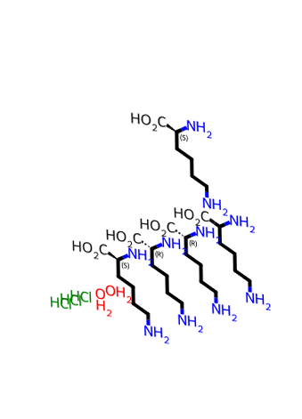 Cl.Cl.Cl.NCCCCC(N)C(=O)O.NCCCC[C@@H](N)C(=O)O.NCCCC[C@@H](N)C(=O)O.NCCCC[C@H](N)C(=O)O.NCCCC[C@H](N)C(=O)O.O.O